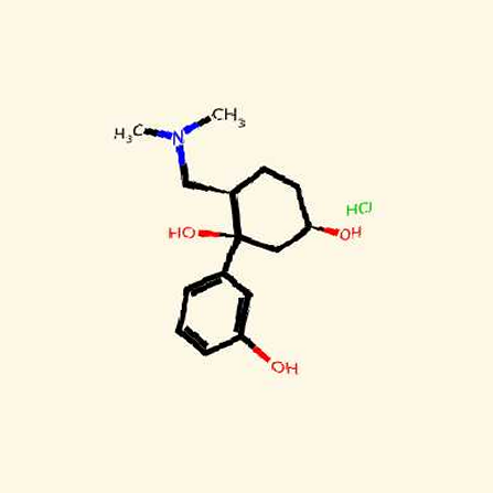 CN(C)C[C@H]1CC[C@@H](O)C[C@]1(O)c1cccc(O)c1.Cl